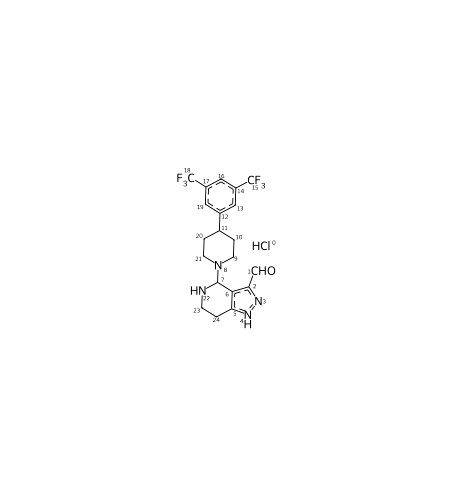 Cl.O=Cc1n[nH]c2c1C(N1CCC(c3cc(C(F)(F)F)cc(C(F)(F)F)c3)CC1)NCC2